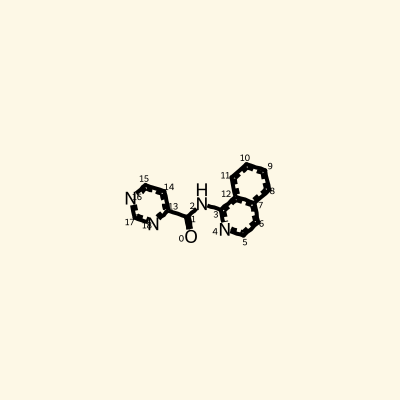 O=C(Nc1nccc2ccccc12)c1ccncn1